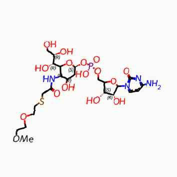 COCCOCCSCC(=O)N[C@H]1C([C@H](O)[C@H](O)CO)O[C@@H](OP(=O)(O)OCC2OC(n3ccc(N)nc3=O)[C@H](O)[C@@H]2O)C[C@H]1O